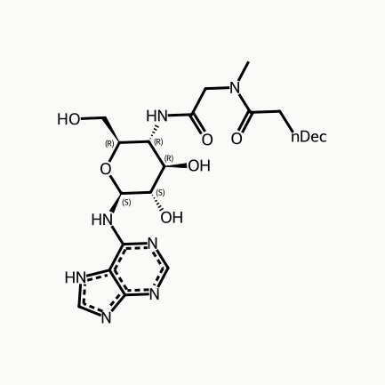 CCCCCCCCCCCC(=O)N(C)CC(=O)N[C@@H]1[C@@H](O)[C@H](O)[C@@H](Nc2ncnc3nc[nH]c23)O[C@H]1CO